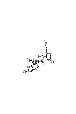 CO[C@@H](C)c1c(NC(=O)Nc2cc(Cl)cnc2OCCN(C)C)cnc2cc(Cl)nn12